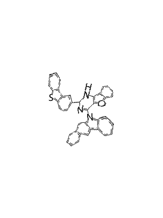 c1ccc2cc3c(cc2c1)c1ccccc1n3C1=NC(c2ccc3sc4ccccc4c3c2)Nc2c1oc1ccccc21